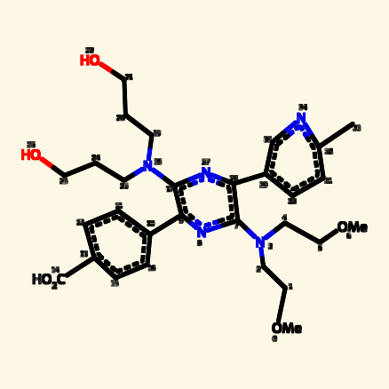 COCCN(CCOC)c1nc(-c2ccc(C(=O)O)cc2)c(N(CCCO)CCCO)nc1-c1ccc(C)nc1